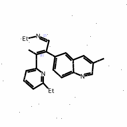 CC/N=C\C(=C(/C)c1cccc(CC)n1)c1ccc2ncc(C)cc2c1